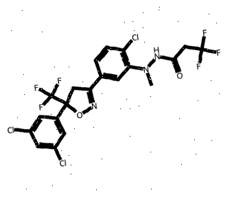 CN(NC(=O)CC(F)(F)F)c1cc(C2=NOC(c3cc(Cl)cc(Cl)c3)(C(F)(F)F)C2)ccc1Cl